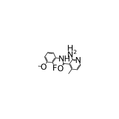 COc1cccc(NC(=O)c2c(C)ccnc2N)c1F